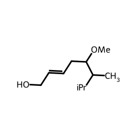 COC(CC=CCO)C(C)C(C)C